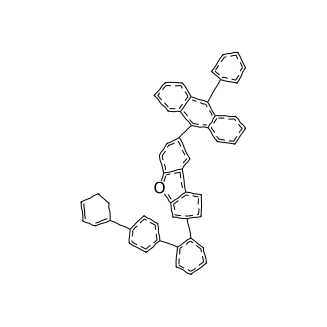 C1=CCCC(c2ccc(-c3ccccc3-c3ccc4c(c3)oc3ccc(-c5c6ccccc6c(-c6ccccc6)c6ccccc56)cc34)cc2)=C1